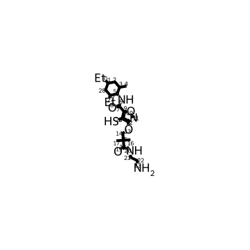 CCC1CC(C)C(NC(=O)c2onc(OCC(C)(C)C(=O)NCCN)c2S)C(CC)C1